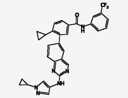 O=C(Nc1cccc(C(F)(F)F)c1)c1ccc(C2CC2)c(-c2ccc3nc(Nc4cnn(C5CC5)c4)ncc3c2)c1